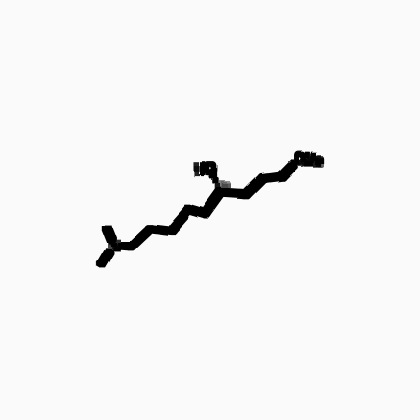 [CH2]OCCC[C@@H](O)CCCCCN(C)C